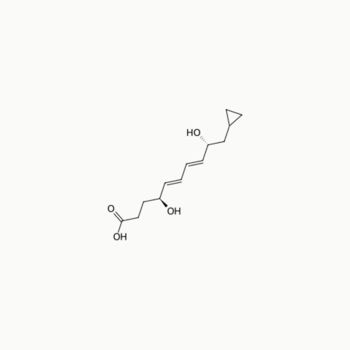 O=C(O)CC[C@H](O)/C=C/C=C/[C@H](O)CC1CC1